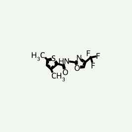 Cc1cc(C)c(C(=O)Nc2nc(C(F)(F)F)co2)s1